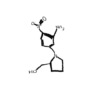 Nc1cc(N2CCC[C@H]2CO)ccc1[N+](=O)[O-]